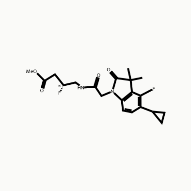 COC(=O)C[C@@H](F)CNC(=O)CN1C(=O)C(C)(C)c2c1ccc(C1CC1)c2F